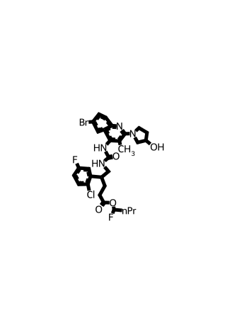 CCCC(F)OC(=O)CCC(CNC(=O)Nc1c(C)c(N2CCC(O)C2)nc2ccc(Br)cc12)c1cc(F)ccc1Cl